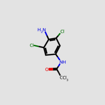 Nc1c(Cl)cc(NC(=O)C(Cl)(Cl)Cl)cc1Cl